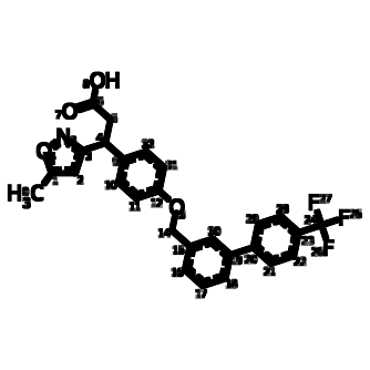 Cc1cc(C(CC(=O)O)c2ccc(OCc3cccc(-c4ccc(C(F)(F)F)cc4)c3)cc2)no1